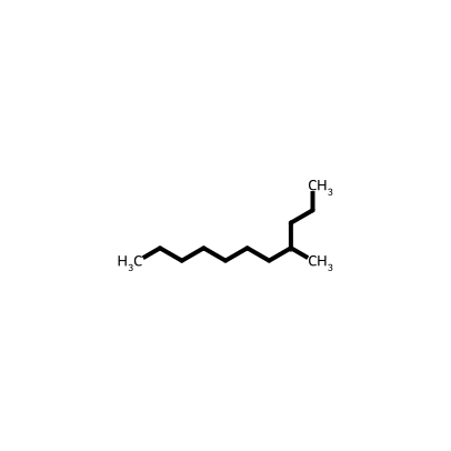 CCCCCCC[C](C)CCC